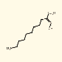 O=C(O)C(CCCCCCCC[N+](=O)[O-])=NO